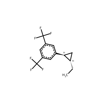 CC[C@H]1C[C@@H]1c1cc(C(F)(F)F)cc(C(F)(F)F)c1